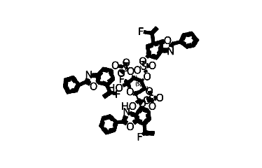 C=C(F)c1cc(OS(=O)(=O)O[C@H]2[C@H](OS(=O)(=O)Oc3cc(C(=C)F)c4oc(-c5ccccc5)nc4c3)[C@@H](OS(=O)(=O)Oc3cc(C(=C)F)c4oc(-c5ccccc5)nc4c3)C(O)(F)O[C@@H]2C(=O)O)cc2nc(-c3ccccc3)oc12